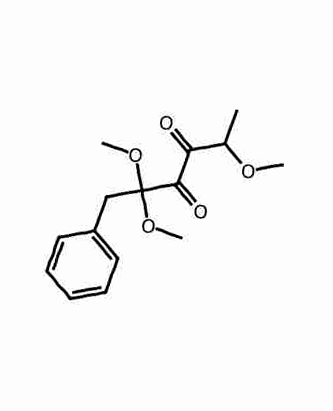 COC(C)C(=O)C(=O)C(Cc1ccccc1)(OC)OC